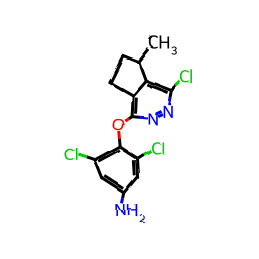 CC1CCc2c(Oc3c(Cl)cc(N)cc3Cl)nnc(Cl)c21